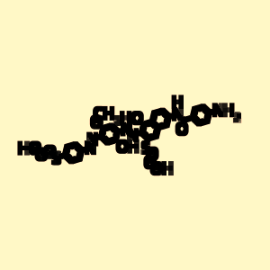 COc1cc(N=Nc2c(SOOO)cc3cc(NC(=O)c4ccc(N)cc4)ccc3c2O)c(O)cc1N=Nc1ccc(SOOO)cc1